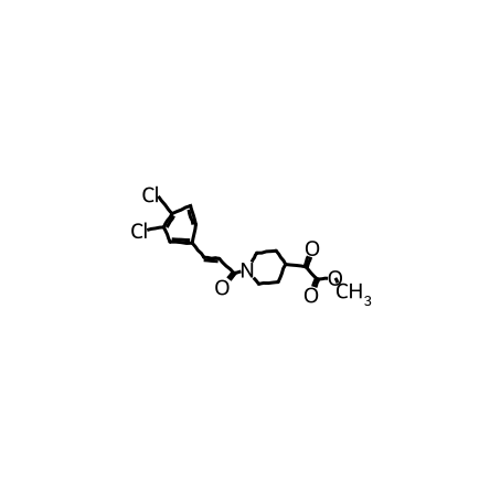 COC(=O)C(=O)C1CCN(C(=O)/C=C/c2ccc(Cl)c(Cl)c2)CC1